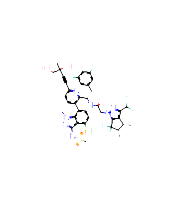 C[C@@H]1c2c(C(F)F)nn(CC(=O)N[C@@H](Cc3cc(F)cc(F)c3)c3nc(C#CC(C)(O)CO)ccc3-c3ccc(Cl)c4c(NS(C)(=O)=O)nn(C)c34)c2C(F)(F)[C@@H]1C